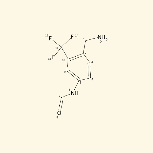 NCc1ccc(NC=O)cc1C(F)(F)F